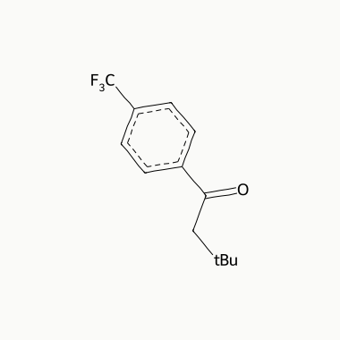 CC(C)(C)CC(=O)c1ccc(C(F)(F)F)cc1